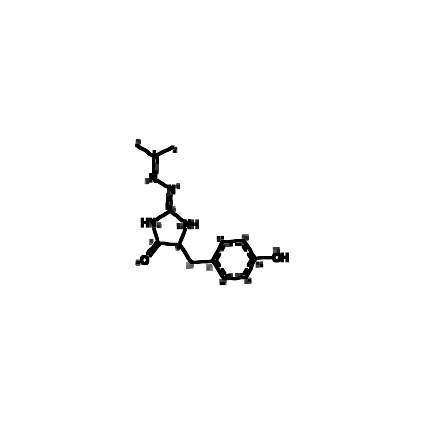 CC(C)=N/N=C1\NC(=O)C(Cc2ccc(O)cc2)N1